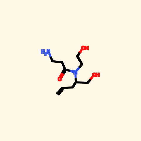 C=CCC(CO)N(CCO)C(=O)CCN